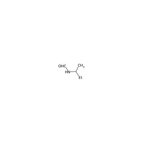 CCC(C)NC=O